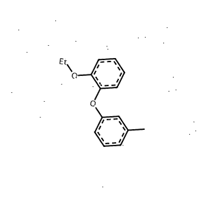 CCOc1ccccc1Oc1cc[c]c(C)c1